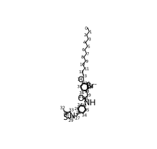 CCCCCCCCCCCCCCOc1ccc(CC(=O)Nc2ccc(C[n+]3csc(C)c3)cc2)cc1.[Br-]